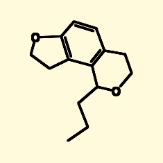 CCCC1OCCc2ccc3c(c21)CCO3